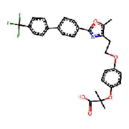 Cc1oc(-c2ccc(-c3ccc(C(F)(F)F)cc3)cc2)nc1CCOc1ccc(OC(C)(C)C(=O)O)cc1